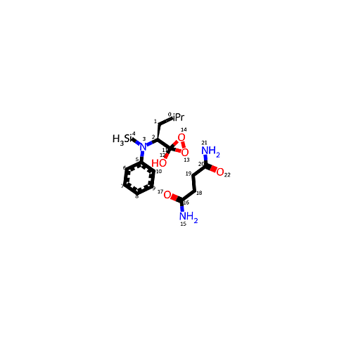 CC(C)C[C@H](N([SiH3])c1ccccc1)C1(O)OO1.NC(=O)CCC(N)=O